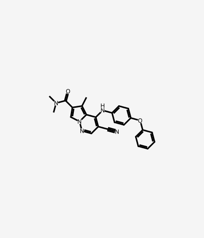 Cc1c(C(=O)N(C)C)cn2ncc(C#N)c(Nc3ccc(Oc4ccccc4)cc3)c12